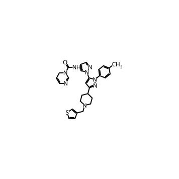 Cc1ccc(-n2nc(C3CCN(Cc4ccsc4)CC3)cc2-n2cccn2)cc1.NC(=O)N1C=NC=CC1